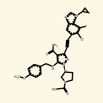 COc1ccc(CNc2c(C(N)=O)c(C#Cc3cc4ncn(C5CC5)c4c(F)c3Cl)nn2[C@H]2CCN(C(=O)O)C2)cc1